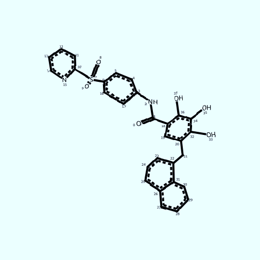 O=C(Nc1ccc(S(=O)(=O)c2ccccn2)cc1)c1cc(Cc2cccc3ccccc23)c(O)c(O)c1O